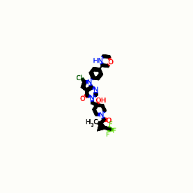 CC1(C(=O)N2CCC(O)(Cn3cnc4c(cc(Cl)n4-c4ccc([C@@H]5COCCN5)cc4)c3=O)CC2)CC1C(F)(F)F